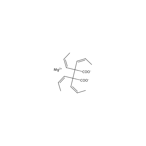 C/C=C\C(/C=C\C)(C(=O)[O-])C(/C=C\C)(/C=C\C)C(=O)[O-].[Mg+2]